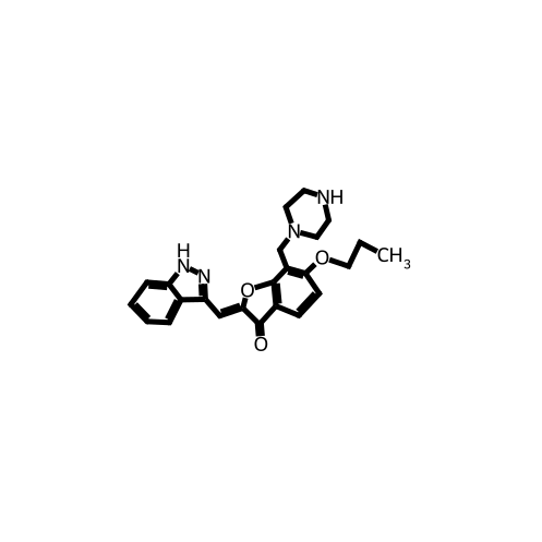 CCCOc1ccc2c(c1CN1CCNCC1)OC(=Cc1n[nH]c3ccccc13)C2=O